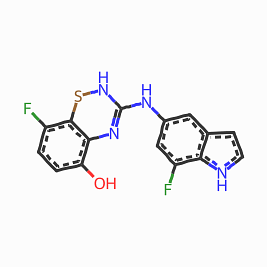 Oc1ccc(F)c2c1N=C(Nc1cc(F)c3[nH]ccc3c1)NS2